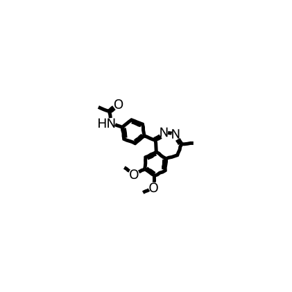 COc1cc2c(cc1OC)C(c1ccc(NC(C)=O)cc1)=NN=C(C)C2